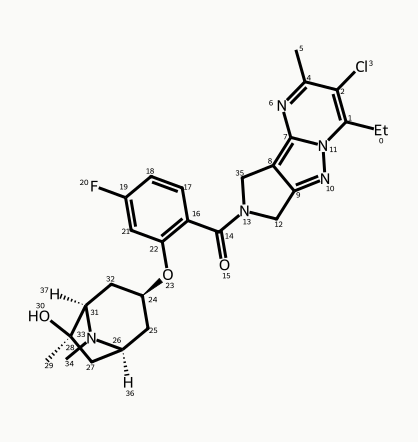 CCc1c(Cl)c(C)nc2c3c(nn12)CN(C(=O)c1ccc(F)cc1O[C@H]1C[C@H]2C[C@@](C)(O)[C@@H](C1)N2C)C3